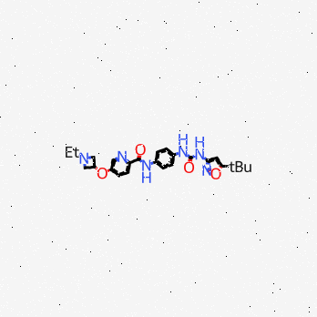 CCN1CC(Oc2ccc(C(=O)Nc3ccc(NC(=O)Nc4cc(C(C)(C)C)on4)cc3)nc2)C1